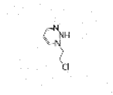 ClCCN1C=CC=NN1